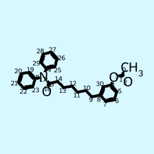 CC(=O)Oc1cccc(CCCCCCC(=O)N(c2ccccc2)c2ccccc2)c1